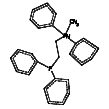 C[PH](CCP(c1ccccc1)c1ccccc1)(c1ccccc1)c1ccccc1